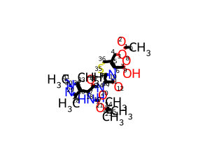 CC(=O)OCC1=C(C(=O)O)N2C(=O)[C@@H](NC(=O)C(NC(=O)OC(C)(C)C)c3c(C)nn(C)c3C)[C@H]2SC1